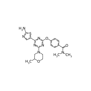 CC1CN(c2nc(Oc3ccc(C(=O)N(C)C)cc3)nc(-c3cnc(N)s3)n2)CCO1